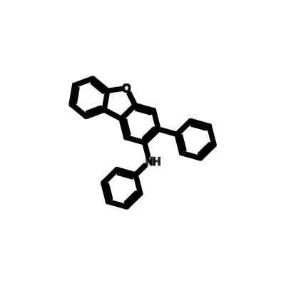 c1ccc(Nc2cc3c(cc2-c2ccccc2)oc2ccccc23)cc1